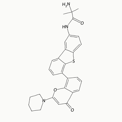 CC(C)(N)C(=O)Nc1ccc2sc3c(-c4cccc5c(=O)cc(N6CCCCC6)oc45)cccc3c2c1